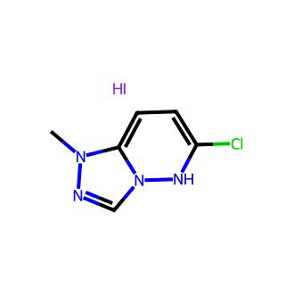 CN1N=CN2NC(Cl)=CC=C12.I